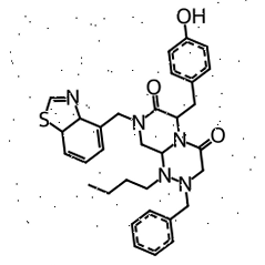 CCCCN1C2CN(CC3=CC=CC4SC=NC34)C(=O)C(Cc3ccc(O)cc3)N2C(=O)CN1Cc1ccccc1